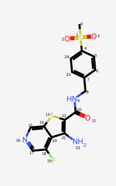 CS(=O)(=O)c1ccc(CNC(=O)c2sc3cncc(F)c3c2N)cc1